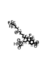 CC(C)(CCCC[S+]([O-])CCCC(F)(F)C(F)(F)F)CC(CCN1CC(=O)NC1=O)c1ccc([N+](=O)[O-])cc1C(F)(F)F